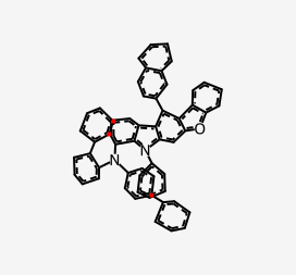 c1ccc(-c2ccc(N(c3ccccc3-c3ccccc3)c3cccc4c5c(-c6ccc7ccccc7c6)c6c(cc5n(-c5ccccc5)c34)oc3ccccc36)cc2)cc1